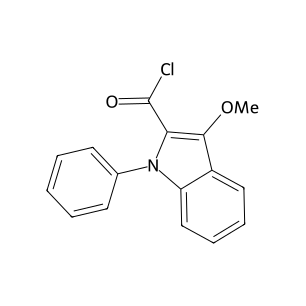 COc1c(C(=O)Cl)n(-c2ccccc2)c2ccccc12